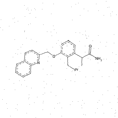 CC(C)Cc1c(OCc2ccc3ccccc3n2)cccc1C(C)C(N)=O